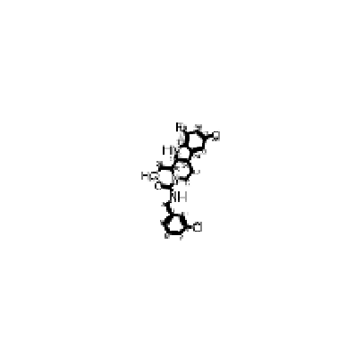 O=C(NCc1cccc(Cl)c1)N1CCc2c([nH]c3c(F)cc(Cl)cc23)C1CO